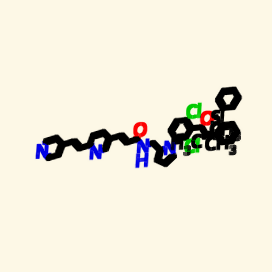 CC(C)(C)C(O[SiH](c1ccccc1)c1ccccc1)c1c(Cl)ccc(-n2cccc2CNC(=O)C=Cc2ccc(C=Cc3ccncc3)nc2)c1Cl